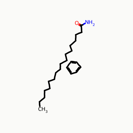 CCCCCCCCCCCCCCCCCC(N)=O.c1ccccc1